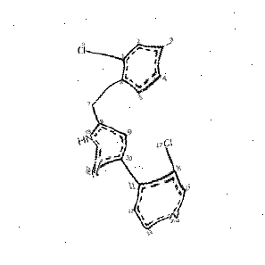 Clc1ccccc1Cc1cc(-c2ccncc2Cl)n[nH]1